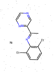 CCc1cccc(CC)c1N=C(C)c1cnccn1.[Ni]